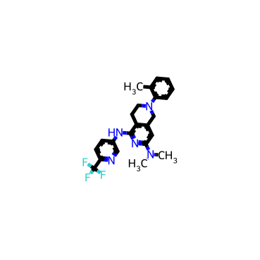 Cc1ccccc1N1CCc2c(cc(N(C)C)nc2Nc2ccc(C(F)(F)F)nc2)C1